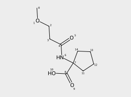 COCCC(=O)NC1(C(=O)O)CCCC1